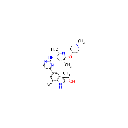 Cc1cc(Nc2nccc(-c3cc(C#N)c4c(c3)[C@@](C)(CO)CN4)n2)c(C)nc1OC1CCN(C)CC1